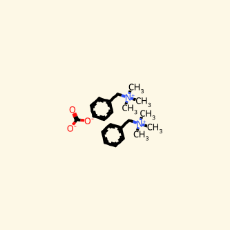 C[N+](C)(C)Cc1ccccc1.C[N+](C)(C)Cc1ccccc1.O=C([O-])[O-]